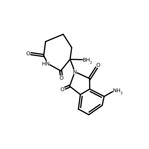 BC1(N2C(=O)c3cccc(N)c3C2=O)CCCC(=O)NC1=O